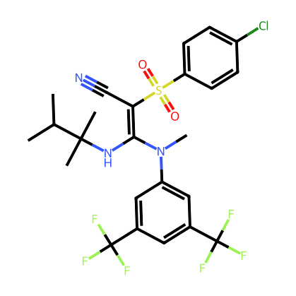 CC(C)C(C)(C)NC(=C(C#N)S(=O)(=O)c1ccc(Cl)cc1)N(C)c1cc(C(F)(F)F)cc(C(F)(F)F)c1